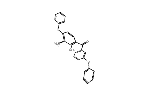 Nc1c(Oc2ccccc2)ccc(C(=O)c2cccc(Oc3ccccc3)c2)c1N